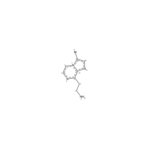 NCCc1nccn2c(Br)cnc12